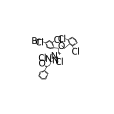 O=C(CC1N(Cl)C=[N+](CC(OCc2c(Cl)cccc2Cl)c2ccc(Cl)cc2Cl)N1Cl)c1ccccc1.[Br-]